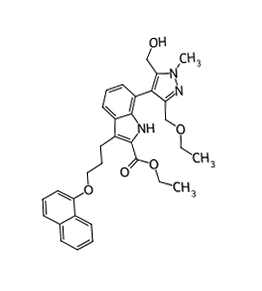 CCOCc1nn(C)c(CO)c1-c1cccc2c(CCCOc3cccc4ccccc34)c(C(=O)OCC)[nH]c12